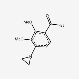 CCC(=O)c1ccc(N2CC2)c(OC)c1OC